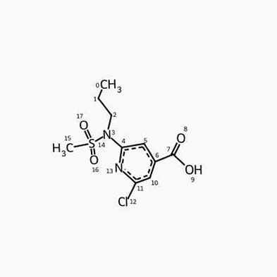 CCCN(c1cc(C(=O)O)cc(Cl)n1)S(C)(=O)=O